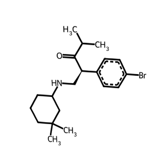 CC(C)C(=O)[C@H](CNC1CCCC(C)(C)C1)c1ccc(Br)cc1